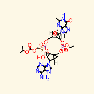 CCO[P@]1(=O)OCC23C[C@@H]2[C@@H](n2cnc4c(N)ncnc42)[C@H](O)[C@@H]3O[P@](=O)(SCOC(=O)OC(C)C)OC[C@H]2O[C@@H](n3cnc4c(=O)[nH]c(C)nc43)[C@H](O1)[C@@H]2OC